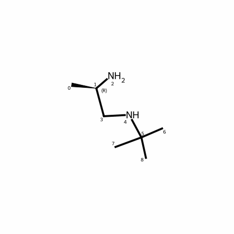 C[C@@H](N)CNC(C)(C)C